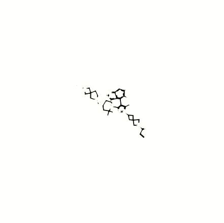 C=CC(=O)N1CC2(CC(n3nc(N4CC[C@@H](CN5CCC6(C5)CN(C(C)=O)C6)CC4(C)C)c(-c4c(Cl)c(Cl)cc5[nH]ncc45)c3C)C2)C1